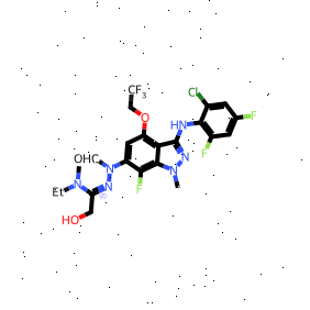 CCN(C)/C(CO)=N\N(C=O)c1cc(OCC(F)(F)F)c2c(Nc3c(F)cc(F)cc3Cl)nn(C)c2c1F